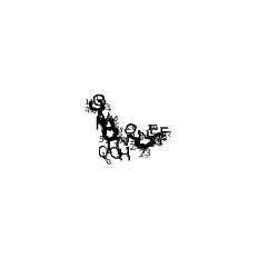 COC(=O)c1cc2nn(C3CCOC3)cc2cc1NC(=O)c1cccc(C(F)(F)F)n1